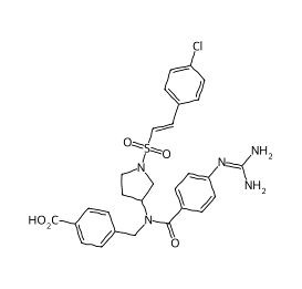 NC(N)=Nc1ccc(C(=O)N(Cc2ccc(C(=O)O)cc2)C2CCN(S(=O)(=O)C=Cc3ccc(Cl)cc3)C2)cc1